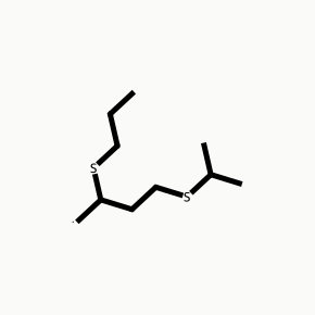 [CH2]C(CCSC(C)C)SCCC